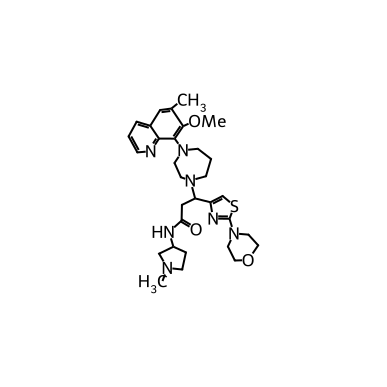 COc1c(C)cc2cccnc2c1N1CCCN(C(CC(=O)NC2CCN(C)C2)c2csc(N3CCOCC3)n2)CC1